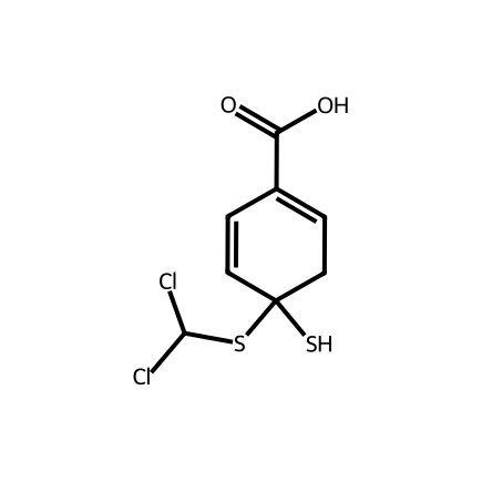 O=C(O)C1=CCC(S)(SC(Cl)Cl)C=C1